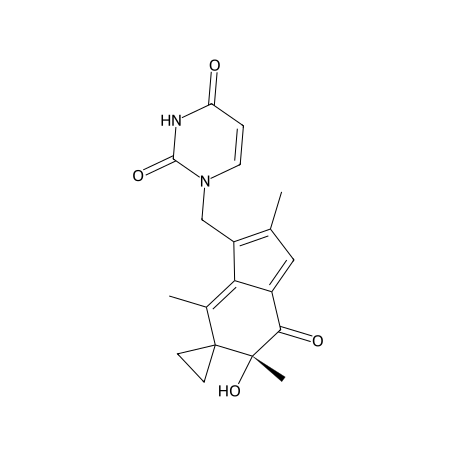 CC1=C(Cn2ccc(=O)[nH]c2=O)C2=C(C)C3(CC3)[C@@](C)(O)C(=O)C2=C1